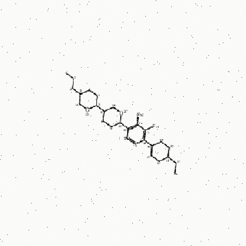 CCCC1CCC(C2CCC(c3ccc(C4CCC(CC)CC4)c(F)c3F)OC2)OC1